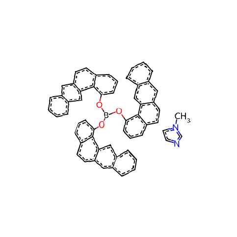 Cn1ccnc1.c1ccc2cc3c(ccc4cccc(OB(Oc5cccc6ccc7cc8ccccc8cc7c56)Oc5cccc6ccc7cc8ccccc8cc7c56)c43)cc2c1